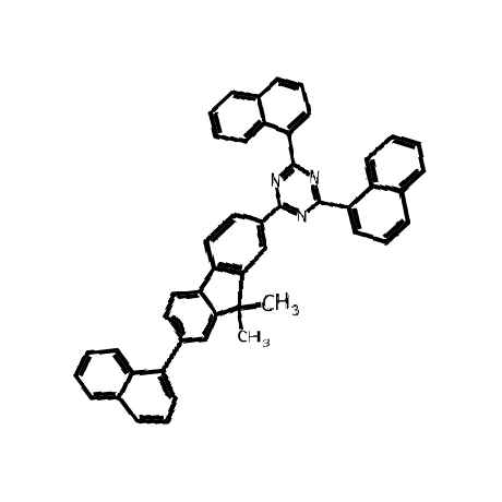 CC1(C)c2cc(-c3nc(-c4cccc5ccccc45)nc(-c4cccc5ccccc45)n3)ccc2-c2ccc(-c3cccc4ccccc34)cc21